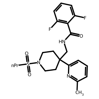 CCCS(=O)(=O)N1CCC(CNC(=O)c2c(F)cccc2F)(c2cccc(C)n2)CC1